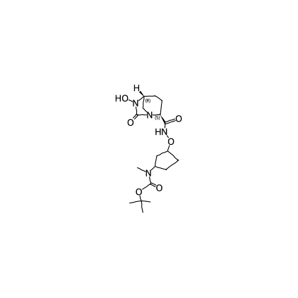 CN(C(=O)OC(C)(C)C)C1CCC(ONC(=O)[C@@H]2CC[C@@H]3CN2C(=O)N3O)C1